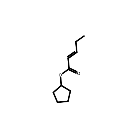 CCC=CC(=O)OC1CCCC1